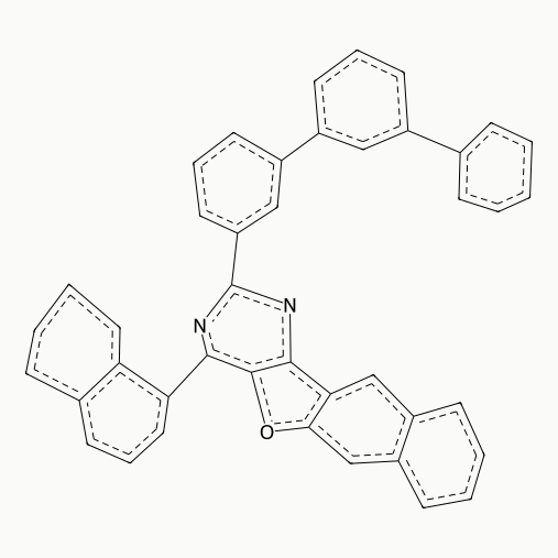 c1ccc(-c2cccc(-c3cccc(-c4nc(-c5cccc6ccccc56)c5oc6cc7ccccc7cc6c5n4)c3)c2)cc1